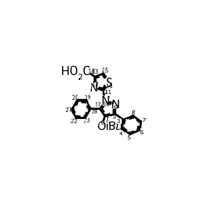 CC(C)COc1c(-c2ccccc2)nn(-c2nc(C(=O)O)cs2)c1-c1ccccc1